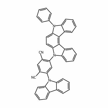 N#Cc1cc(C#N)c(-n2c3ccccc3c3c4c5ccccc5n(-c5ccccc5)c4ccc32)cc1-n1c2ccccc2c2ccccc21